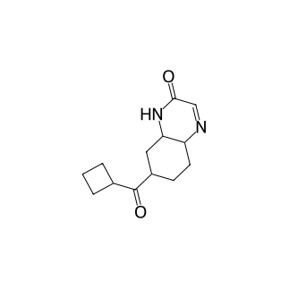 O=C1C=NC2CCC(C(=O)C3CCC3)CC2N1